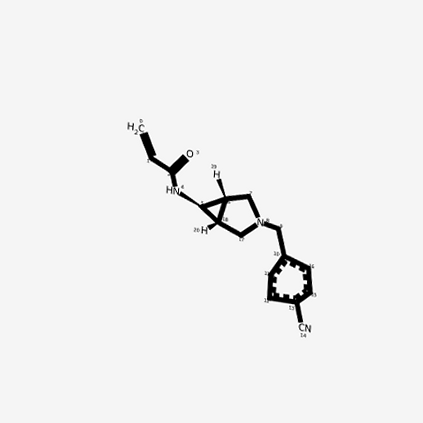 C=CC(=O)N[C@H]1[C@@H]2CN(Cc3ccc(C#N)cc3)C[C@@H]21